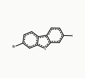 Brc1ccc2c(c1)sc1cc(I)ccc12